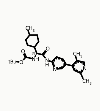 Cc1cc(-c2ccc(NC(=O)[C@@H](NC(=O)OC(C)(C)C)C3CCC(C)CC3)nc2)c(C)cn1